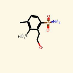 Cc1ccc(S(N)(=O)=O)c(CC[O])c1S(=O)(=O)O